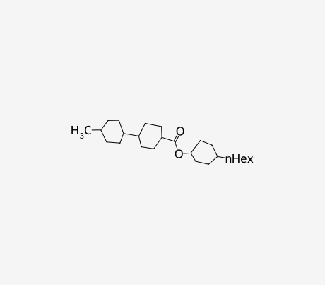 CCCCCCC1CCC(OC(=O)C2CCC(C3CCC(C)CC3)CC2)CC1